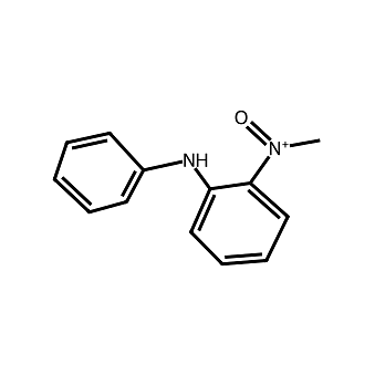 C[N+](=O)c1ccccc1Nc1ccccc1